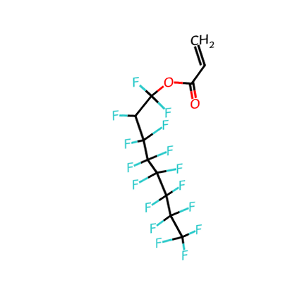 C=CC(=O)OC(F)(F)C(F)C(F)(F)C(F)(F)C(F)(F)C(F)(F)C(F)(F)C(F)(F)F